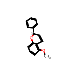 COc1cccc2c1C=C[C@H](c1ccccc1)O2